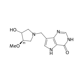 CO[C@@H]1CN(Cc2c[nH]c3c(=O)[nH]cnc23)CC1O